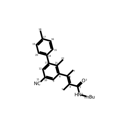 CCCCNC(=O)/C(C)=C(\C)c1cc(C#N)cc(-c2ccc(C)cc2)c1C